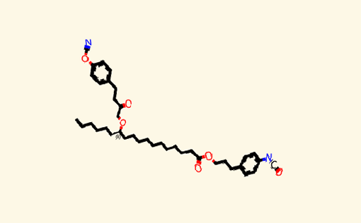 CCCCCC[C@H](CCCCCCCCCCC(=O)OCCCc1ccc(N=C=O)cc1)OCC(=O)CCc1ccc(OC#N)cc1